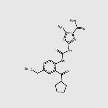 CCOC(=O)Cc1ccc(NC(=O)Nc2nc(C(=O)NC)c(C)s2)c(C(=O)C2CCCC2)c1